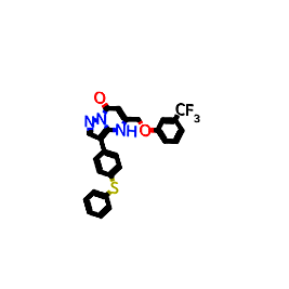 O=c1cc(COc2cccc(C(F)(F)F)c2)[nH]c2c(-c3ccc(Sc4ccccc4)cc3)cnn12